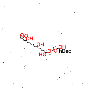 CCCCCCCCCC[C@H](O)[C@H]1CC[C@H]([C@H]2CC[C@H]([C@H](O)CCCC[C@H](O)CCCCC[C@@H](O)CC3=C[C@H](C)OC3=O)O2)O1